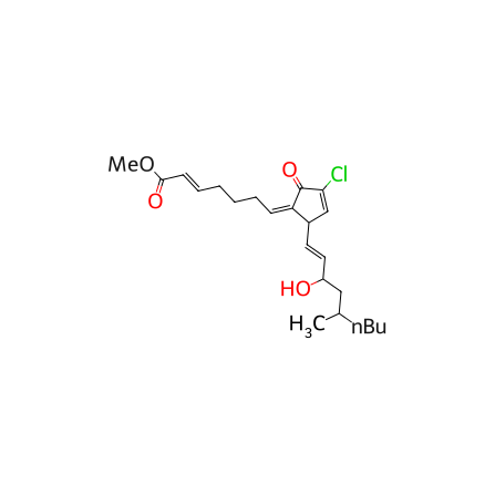 CCCCC(C)CC(O)/C=C/C1C=C(Cl)C(=O)/C1=C\CCC/C=C/C(=O)OC